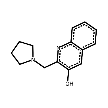 Oc1cc2ccccc2nc1CN1CCCC1